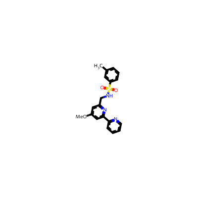 COc1cc(CNS(=O)(=O)c2cccc(C)c2)nc(-c2ccccn2)c1